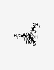 CCCC(=O)OC[C@@H](OC(=O)CCC)[C@@H](O)[C@H](O)[C@H](O)C=O